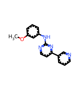 COc1cccc(Nc2nccc(-c3cccnc3)n2)c1